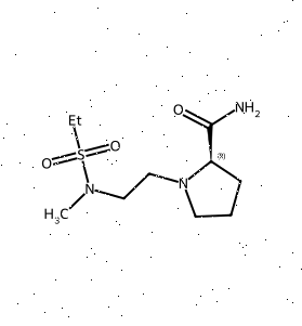 CCS(=O)(=O)N(C)CCN1CCC[C@@H]1C(N)=O